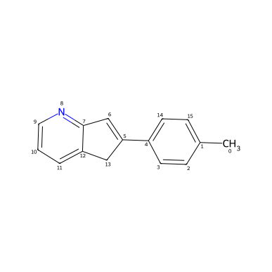 Cc1ccc(C2=Cc3ncccc3C2)cc1